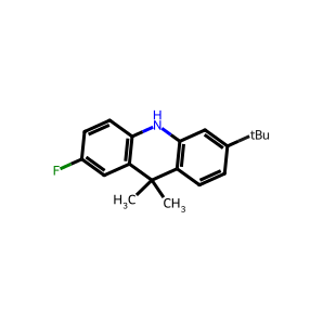 CC(C)(C)c1ccc2c(c1)Nc1ccc(F)cc1C2(C)C